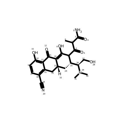 CC(C(N)=O)C(=O)C1C(O)=C2C(=O)c3c(O)ccc(C#N)c3C[C@H]2C[C@H]1[C@@H](CO)N(C)C